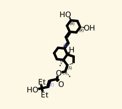 CCC(O)(/C=C/C(=O)O[C@@H](C)[C@H]1CC[C@H]2/C(=C/C=C3C[C@@H](O)C[C@H](O)C3)CCC[C@]12C)CC